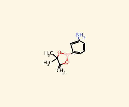 C=C1OB(c2cccc(N)c2)OC1(C)C